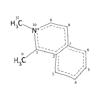 Cc1c2ccccc2cc[n+]1C